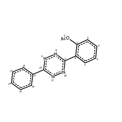 CC(=O)Oc1ccccc1-c1nnc(-c2ccccc2)nn1